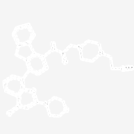 COCCN1CCN(CC(=O)Nc2ccc(-c3cccc4c(=O)cc(N5CCOCC5)oc34)c3c2-c2ccccc2C3)CC1